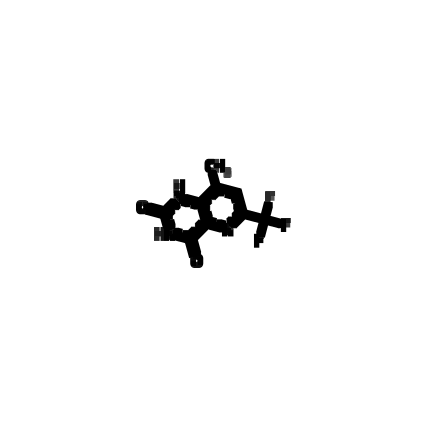 Cc1cc(C(F)(F)F)nc2c(=O)[nH]c(=O)[nH]c12